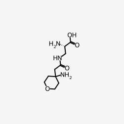 N[C@@H](CNC(=O)CC1(N)CCOCC1)C(=O)O